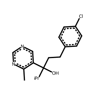 Cc1ncncc1C(O)(CCc1ccc(Cl)cc1)C(C)C